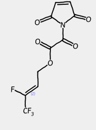 O=C(OC/C=C(\F)C(F)(F)F)C(=O)N1C(=O)C=CC1=O